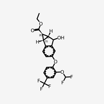 CCOC(=O)[C@@H]1[C@H]2c3ccc(Oc4ccc(C(F)(F)F)cc4OC(F)F)cc3C(O)[C@@H]12